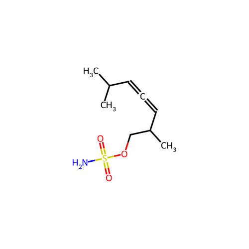 CC(C)C=C=CC(C)COS(N)(=O)=O